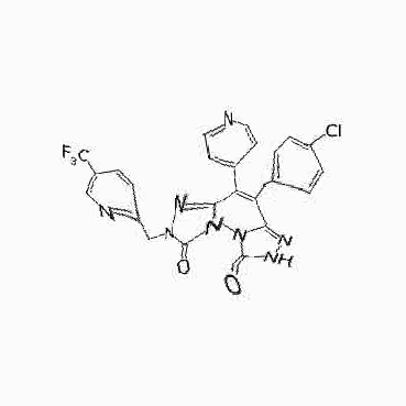 O=c1[nH]nc2c(-c3ccc(Cl)cc3)c(-c3ccncc3)c3nn(Cc4ccc(C(F)(F)F)cn4)c(=O)n3n12